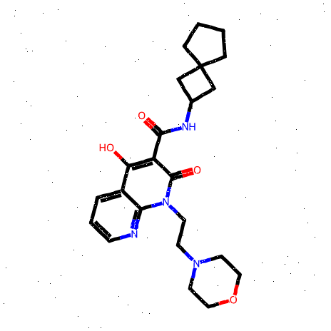 O=C(NC1CC2(CCCC2)C1)c1c(O)c2cccnc2n(CCN2CCOCC2)c1=O